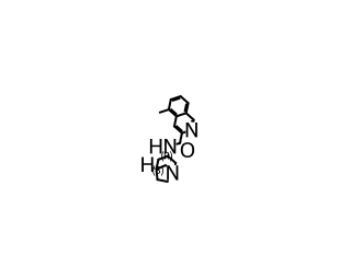 Cc1cccc2cnc(C(=O)N[C@@H]3C[C@@H]4CCN(C4)C3)cc12